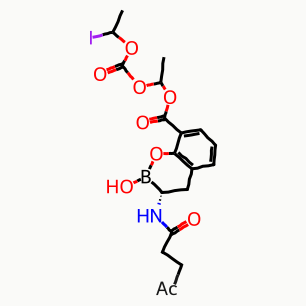 CC(=O)CCC(=O)N[C@H]1Cc2cccc(C(=O)OC(C)OC(=O)OC(C)I)c2OB1O